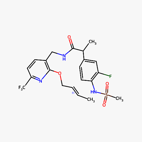 C/C=C/COc1nc(C(F)(F)F)ccc1CNC(=O)C(C)c1ccc(NS(C)(=O)=O)c(F)c1